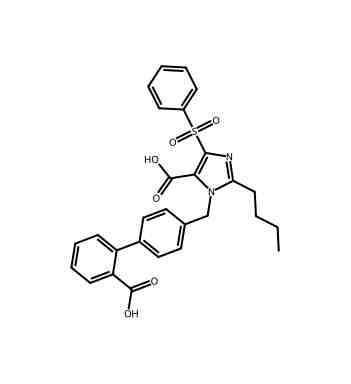 CCCCc1nc(S(=O)(=O)c2ccccc2)c(C(=O)O)n1Cc1ccc(-c2ccccc2C(=O)O)cc1